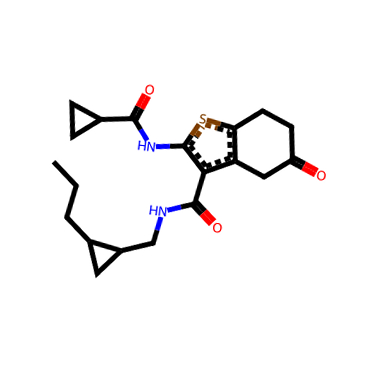 CCCC1CC1CNC(=O)c1c(NC(=O)C2CC2)sc2c1CC(=O)CC2